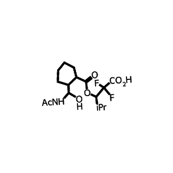 CC(=O)NC(O)C1CCCCC1C(=O)OC(C(C)C)C(F)(F)C(=O)O